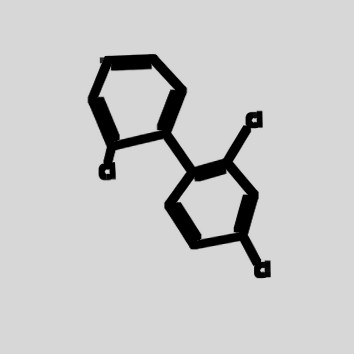 Clc1ccc(-c2cc[c]cc2Cl)c(Cl)c1